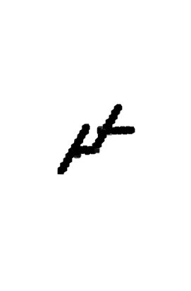 CCCCCCCCCCC(CCCCCCCCCC)C(=O)CCCCCCN(C)CCCCCCC(=O)N(CCCCCCCCCC)CCCCCCCCCC